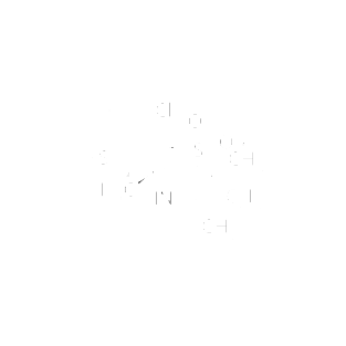 C=C1N[C@](C)(c2sccc2Cl)CS(=O)(=O)C1(C)C